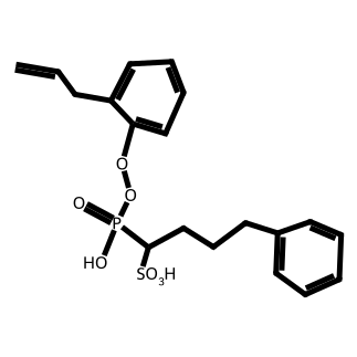 C=CCc1ccccc1OOP(=O)(O)C(CCCc1ccccc1)S(=O)(=O)O